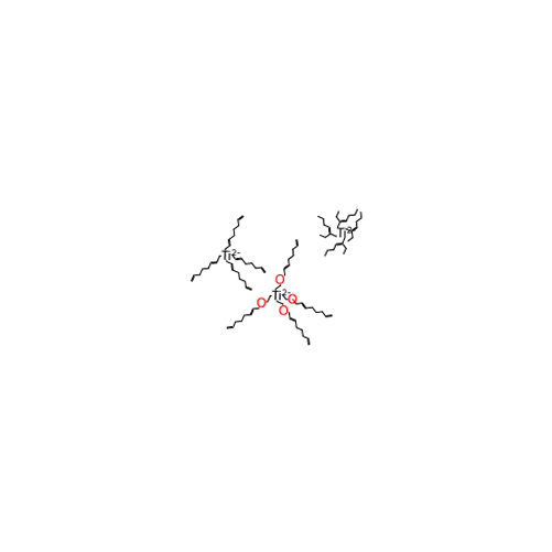 C=CCCCC=CCOC[CH2][Ti-2]([CH2]COCC=CCCCC=C)([CH2]COCC=CCCCC=C)[CH2]COCC=CCCCC=C.C=CCCCC=C[CH2][Ti-2]([CH2]C=CCCCC=C)([CH2]C=CCCCC=C)[CH2]C=CCCCC=C.CCCC=C(CC)[CH2][Ti-2]([CH2]C(=CCCC)CC)([CH2]C(=CCCC)CC)[CH2]C(=CCCC)CC